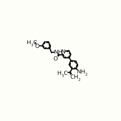 C=C(C)c1cc(-c2ccnc(C(=O)NCc3cccc(OC)c3)c2)ccc1N